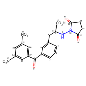 O=C(c1cccc(C[C@H](NN2C(=O)CCC2=O)C(=O)O)c1)c1cc([N+](=O)[O-])cc([N+](=O)[O-])c1